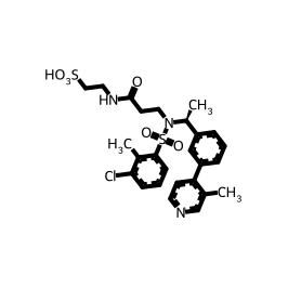 Cc1cnccc1-c1cccc([C@H](C)N(CCC(=O)NCCS(=O)(=O)O)S(=O)(=O)c2cccc(Cl)c2C)c1